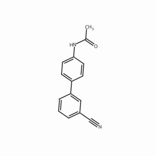 CC(=O)Nc1ccc(-c2[c]ccc(C#N)c2)cc1